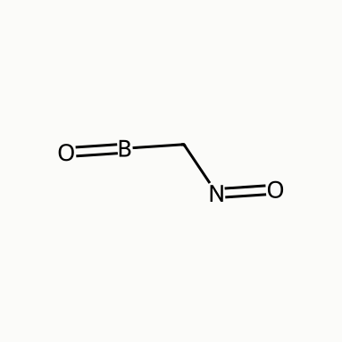 O=BCN=O